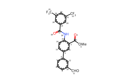 COC(=O)c1cc(-c2cccc(C=O)c2)ccc1NC(=O)c1cc(C(F)(F)F)cc(C(F)(F)F)c1